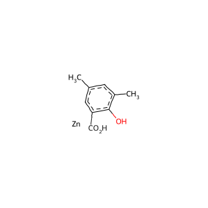 Cc1cc(C)c(O)c(C(=O)O)c1.[Zn]